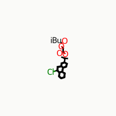 CCC(C)C(=O)OCC(=O)OC(C)(C)c1ccc2c(c1)cc(Cl)c1ccccc12